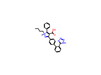 CCCC[N+]1(C)N=C(c2ccc(-c3ccccc3-c3nnn[nH]3)cc2)C(C(=O)O)=C1c1ccccc1